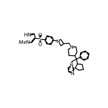 CN/C=C(\C=N)S(=O)(=O)c1ccc(N2CC(CN3CCC(C(Cn4ccnc4)(c4ccccc4)C4CCCC4)CC3)C2)cc1